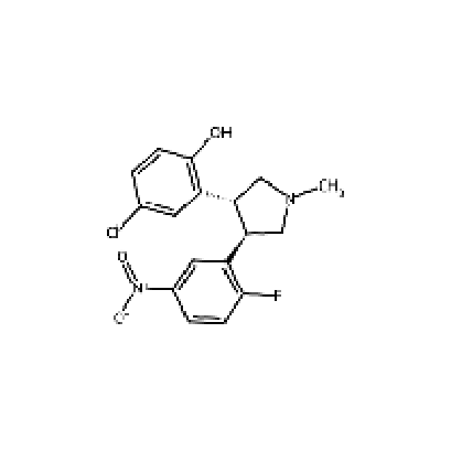 CN1C[C@@H](c2cc(Cl)ccc2O)[C@H](c2cc([N+](=O)[O-])ccc2F)C1